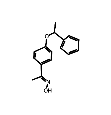 CC(=NO)c1ccc(OC(C)c2ccccc2)cc1